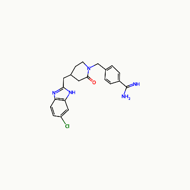 N=C(N)c1ccc(CN2CCC(Cc3nc4ccc(Cl)cc4[nH]3)CC2=O)cc1